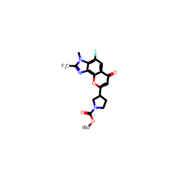 Cn1c(C(F)(F)F)nc2c3oc(C4CCN(C(=O)OC(C)(C)C)C4)cc(=O)c3cc(F)c21